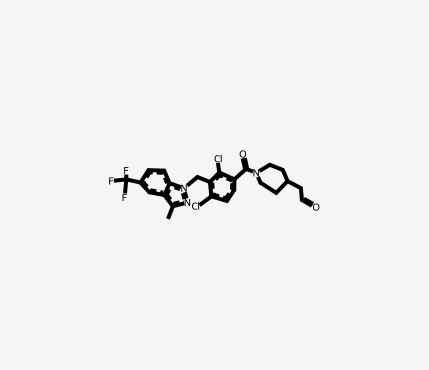 Cc1nn(Cc2c(Cl)ccc(C(=O)N3CCC(CC=O)CC3)c2Cl)c2ccc(C(F)(F)F)cc12